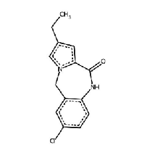 CCc1cc2n(c1)Cc1cc(Cl)ccc1NC2=O